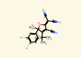 CC(C)(C)C1=C(C#N)C(=C(C#N)C#N)OC1(C)c1ccc(F)c(F)c1